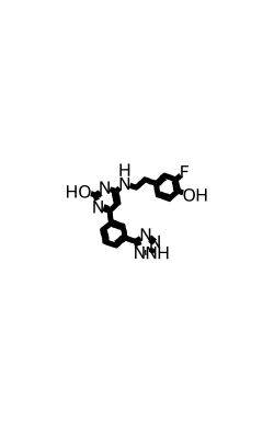 Oc1nc(NCCc2ccc(O)c(F)c2)cc(-c2cccc(-c3nn[nH]n3)c2)n1